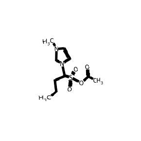 CCCC(N1C=CN(C)C1)S(=O)(=O)OC(C)=O